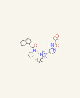 Cc1nc(-c2ccnc(NC(=O)c3ccoc3)c2)nn1CCN(C(=O)Cc1cccc2ccccc12)C1CCCC1